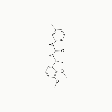 COc1cccc(C(C)NC(=O)Nc2cccc(C)c2)c1OC